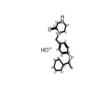 CC(Oc1ccc(CN2CCNCC2=O)cc1)C1CCCCC1.Cl